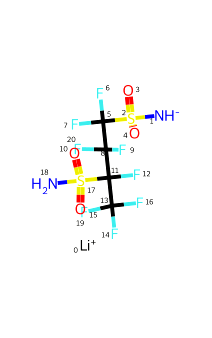 [Li+].[NH-]S(=O)(=O)C(F)(F)C(F)(F)C(F)(C(F)(F)F)S(N)(=O)=O